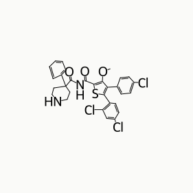 COc1c(C(=O)NC(=O)C2(c3ccccc3)CCNCC2)sc(-c2ccc(Cl)cc2Cl)c1-c1ccc(Cl)cc1